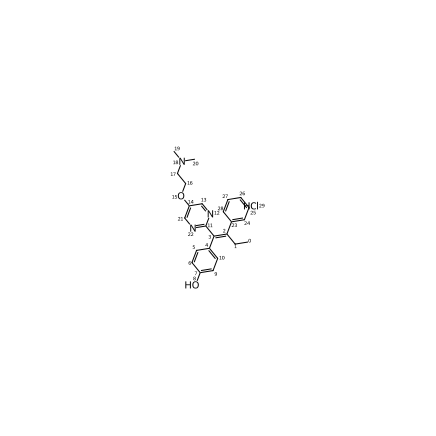 CC/C(=C(\c1ccc(O)cc1)c1ncc(OCCN(C)C)cn1)c1ccccc1.Cl